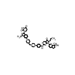 C=CCn1c(=O)c2cnc(Nc3ccc(N4CCN(CC5CCN(c6ccc7c(N8CCC(=O)NC8=O)nn(C)c7c6)CC5)CC4)cc3)nc2n1-c1ccc2c(n1)C(C)(O)CC2